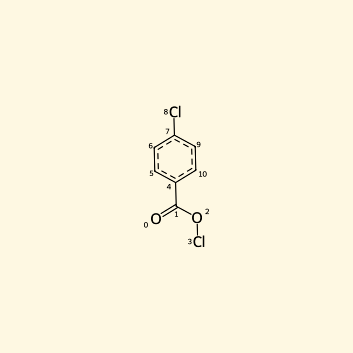 O=C(OCl)c1ccc(Cl)cc1